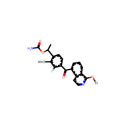 CCOc1nccc2c(C(=O)c3ccc(C(C)OC(N)=O)c(OC)c3F)cccc12